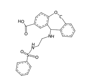 O=C(O)c1ccc2c(c1)C(NCCNS(=O)(=O)c1ccccc1)c1ccccc1CO2